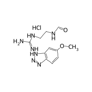 COc1ccc2nn[nH]c2c1.Cl.N=C(N)NCCNC=O